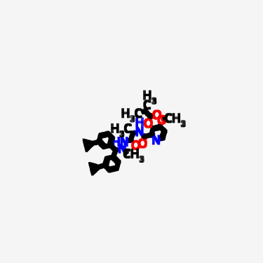 COc1ccnc(C(=O)N[C@@H](C)C(=O)NN(C)C(c2cccc(C3CC3)c2)c2cccc(C3CC3)c2)c1OC(=O)C(C)C